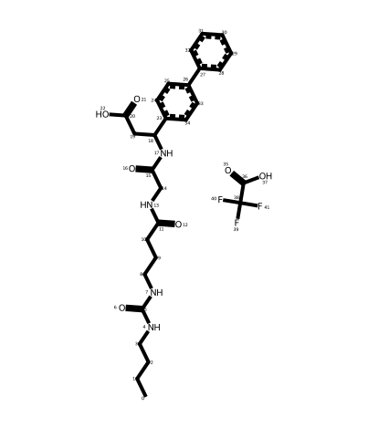 CCCCNC(=O)NCCCC(=O)NCC(=O)NC(CC(=O)O)c1ccc(-c2ccccc2)cc1.O=C(O)C(F)(F)F